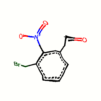 O=[C]c1cccc(Br)c1[N+](=O)[O-]